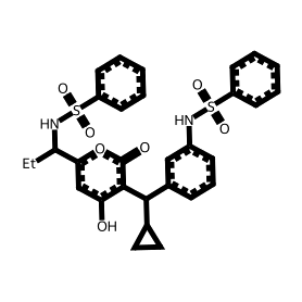 CCC(NS(=O)(=O)c1ccccc1)c1cc(O)c(C(c2cccc(NS(=O)(=O)c3ccccc3)c2)C2CC2)c(=O)o1